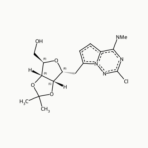 CNc1nc(Cl)nn2c(C[C@H]3O[C@H](CO)[C@H]4OC(C)(C)O[C@H]43)ccc12